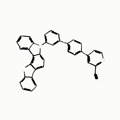 N#Cc1cc(-c2ccc(-c3cccc(-n4c5ccccc5c5c6oc7ccccc7c6ccc54)c3)cc2)ccn1